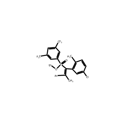 CCOP(=O)(/C(=C(/C)C(C)=O)c1cc(Cl)ccc1C)c1cc(C(F)(F)F)cc(C(F)(F)F)c1